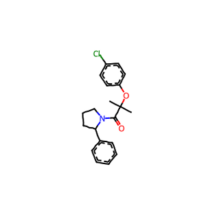 CC(C)(Oc1ccc(Cl)cc1)C(=O)N1CCCC1c1ccccc1